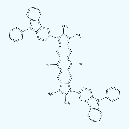 Cc1c(C)n(-c2ccc3c(c2)c2ccccc2n3-c2ccccc2)c2cc3c(C(C)(C)C)c4cc5c(C)c(C)n(-c6ccc7c(c6)c6ccccc6n7-c6ccccc6)c5cc4c(C(C)(C)C)c3cc12